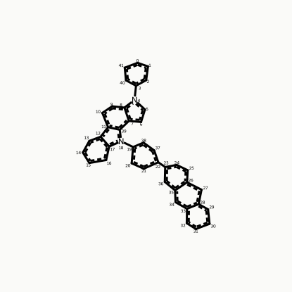 c1ccc(-n2ccc3c2ccc2c4ccccc4n(-c4ccc(-c5ccc6cc7ccccc7cc6c5)cc4)c23)cc1